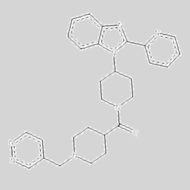 O=C(C1CCN(Cc2ccnnc2)CC1)N1CCC(n2c(-c3ccccn3)nc3ccccc32)CC1